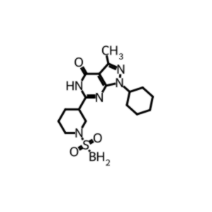 BS(=O)(=O)N1CCCC(c2nc3c(c(C)nn3C3CCCCC3)c(=O)[nH]2)C1